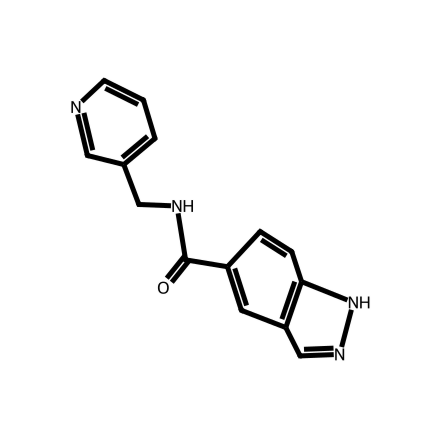 O=C(NCc1cccnc1)c1ccc2[nH]ncc2c1